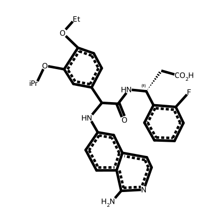 CCOc1ccc(C(Nc2ccc3c(N)nccc3c2)C(=O)N[C@H](CC(=O)O)c2ccccc2F)cc1OC(C)C